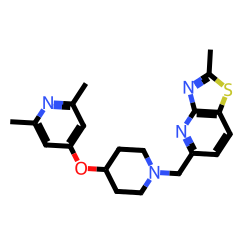 Cc1cc(OC2CCN(Cc3ccc4sc(C)nc4n3)CC2)cc(C)n1